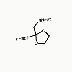 CCCCCCCCC1(CCCCCCC)OCCO1